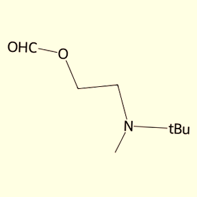 CN(CCOC=O)C(C)(C)C